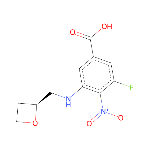 O=C(O)c1cc(F)c([N+](=O)[O-])c(NC[C@@H]2CCO2)c1